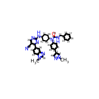 Cn1cc(-c2ccc(N(C(=O)NCc3ccccc3)[C@H]3CC[C@H](Nc4ncc(C#N)c(-c5ccc6c(c5)ncn6C)n4)CC3)cc2)cn1